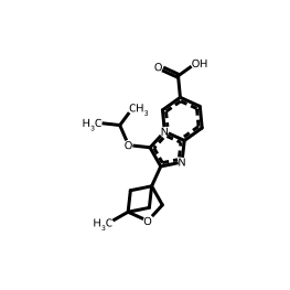 CC(C)Oc1c(C23COC(C)(C2)C3)nc2ccc(C(=O)O)cn12